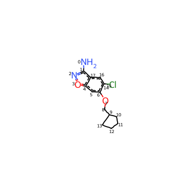 Nc1noc2cc(OCC3CCCC3)c(Cl)cc12